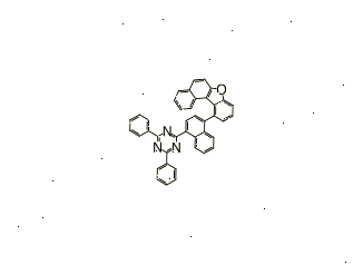 c1ccc(-c2nc(-c3ccccc3)nc(-c3ccc(-c4cccc5oc6ccc7ccccc7c6c45)c4ccccc34)n2)cc1